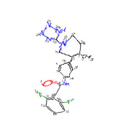 CC1=C(c2ccc(NC(=O)c3c(F)cccc3F)cc2)CN(c2nnn[nH]2)CC1